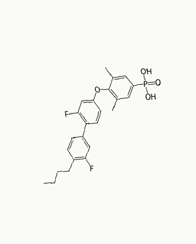 CCCCc1ccc(-c2ccc(Oc3c(C)cc(P(=O)(O)O)cc3C)cc2F)cc1F